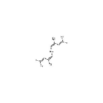 CC/C(C)=C\C(=[CH]/[Ru]/[CH]=C(\C=C(\C)CC)CC)CC